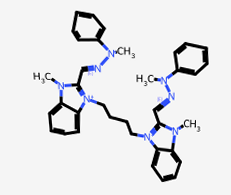 CN(/N=C/c1n(C)c2ccccc2[n+]1CCCC[n+]1c(/C=N/N(C)c2ccccc2)n(C)c2ccccc21)c1ccccc1